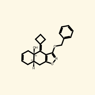 O[C@]12CC=CC[C@H]1Cc1onc(OCc3ccccc3)c1C2=C1CCC1